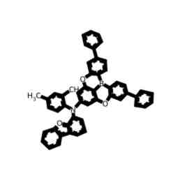 Cc1ccc(N(c2cc3c4c(c2)Oc2cc(-c5ccccc5)ccc2B4c2ccc(-c4ccccc4)cc2O3)c2cccc3c2oc2ccccc23)c(C)c1